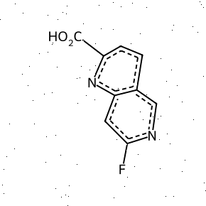 O=C(O)c1ccc2cnc(F)cc2n1